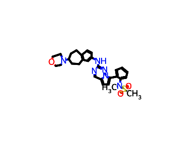 CN(c1ccccc1-c1ccc2cnc(Nc3ccc4c(c3)CCC(N3CCOCC3)CC4)nn12)S(C)(=O)=O